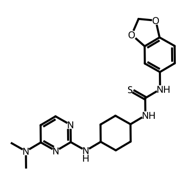 CN(C)c1ccnc(NC2CCC(NC(=S)Nc3ccc4c(c3)OCO4)CC2)n1